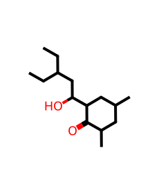 CCC(CC)CC(O)C1CC(C)CC(C)C1=O